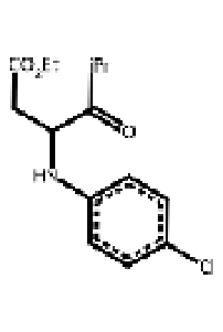 CCOC(=O)CC(Nc1ccc(Cl)cc1)C(=O)C(C)C